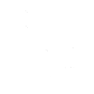 CCCCCC1=C(O)C(=O)N(CCCn2ccnc2)C1C1CCC=CO1